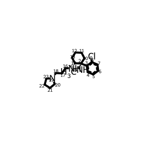 CN[C@@]1(c2ccccc2Cl)CCCC[C@H]1NCCCN1CCCC1